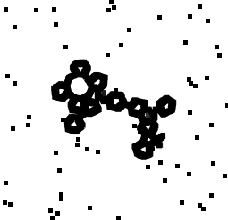 CC1(C)c2ccccc2-c2cc3c4cc(-c5ccc(N(c6ccc(-c7ccccc7)cc6)c6cccc7c6Cc6ccccc6-c6ccccc6Cc6ccccc6-7)cc5)ccc4n(-c4ccccc4)c3cc21